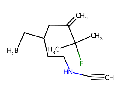 BCC(CCNC#C)CC(=C)C(C)(C)F